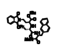 CNC(=O)[C@H](Cc1ccc2ccccc2c1)NC(=O)[C@H](CC(C)C)NC(CCN1C(=O)c2ccccc2C1=O)C(=O)OC(C)(C)C